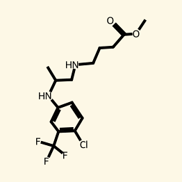 COC(=O)CCCNCC(C)Nc1ccc(Cl)c(C(F)(F)F)c1